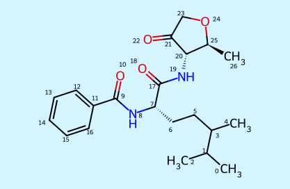 CC(C)C(C)CC[C@H](NC(=O)c1ccccc1)C(=O)N[C@@H]1C(=O)CO[C@H]1C